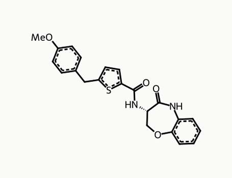 COc1ccc(Cc2ccc(C(=O)N[C@H]3COc4ccccc4NC3=O)s2)cc1